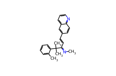 C/N=C(\C=C\c1ccc2ncccc2c1)C(C)(C)c1ccccc1C